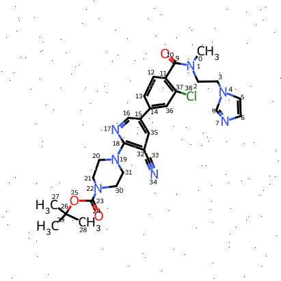 CN(CCn1ccnc1)C(=O)c1ccc(-c2cnc(N3CCN(C(=O)OC(C)(C)C)CC3)c(C#N)c2)cc1Cl